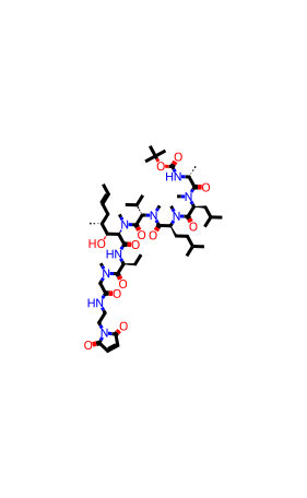 C/C=C/C[C@@H](C)[C@@H](O)[C@@H](C(=O)N[C@@H](CC)C(=O)N(C)CC(=O)NCCN1C(=O)C=CC1=O)N(C)C(=O)[C@H](C(C)C)N(C)C(=O)[C@H](CCC(C)C)N(C)C(=O)[C@H](CC(C)C)N(C)C(=O)[C@@H](C)NC(=O)OC(C)(C)C